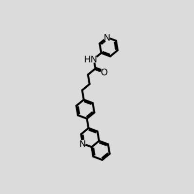 O=C(CCCc1ccc(-c2cnc3ccccc3c2)cc1)Nc1cccnc1